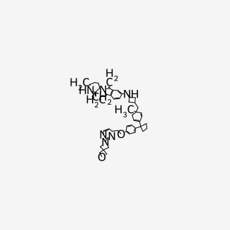 C=C1CCC(n2c(=C)c3ccc(NC4CC(CC5(C)C=CC(C6(c7ccc(OCc8ccnc(N9CC%10(COC%10)C9)n8)cc7)CCC6)=CC5)C4)cc3c2=C)C(=C)N1